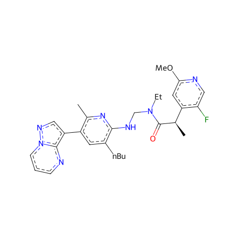 CCCCc1cc(-c2cnn3cccnc23)c(C)nc1NCN(CC)C(=O)[C@H](C)c1cc(OC)ncc1F